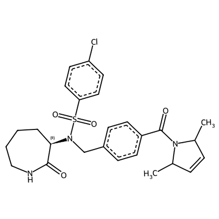 CC1C=CC(C)N1C(=O)c1ccc(CN([C@@H]2CCCCNC2=O)S(=O)(=O)c2ccc(Cl)cc2)cc1